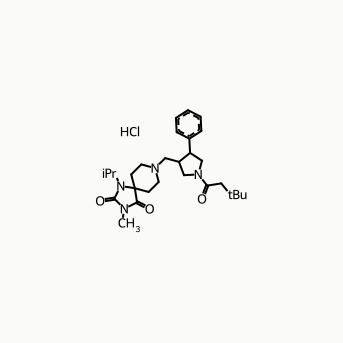 CC(C)N1C(=O)N(C)C(=O)C12CCN(CC1CN(C(=O)CC(C)(C)C)CC1c1ccccc1)CC2.Cl